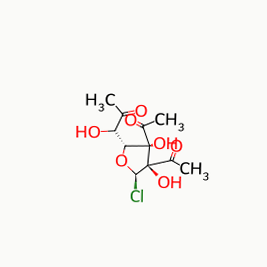 CC(=O)C(O)[C@H]1O[C@H](Cl)[C@@](O)(C(C)=O)[C@@]1(O)C(C)=O